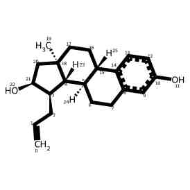 C=CC[C@@H]1[C@H]2[C@@H]3CCc4cc(O)ccc4[C@H]3CC[C@]2(C)C[C@@H]1O